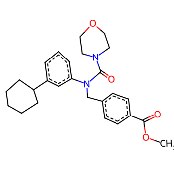 COC(=O)c1ccc(CN(C(=O)N2CCOCC2)c2cccc(C3CCCCC3)c2)cc1